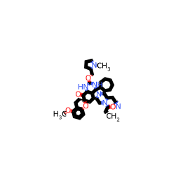 C=CC(=O)N1CCN(C2(C3CCCCCC3)NC(OCC3CCCN3C)NC3C(=O)[C@]4(CCc5c(OC)cccc5O4)CCC32)CC1CC#N